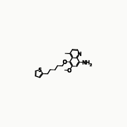 COc1cc(N)c2nccc(C)c2c1OCCCCCc1cccs1